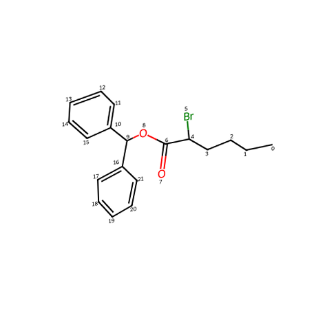 CCCCC(Br)C(=O)OC(c1ccccc1)c1ccccc1